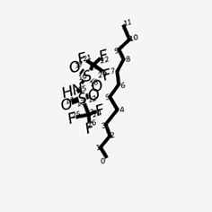 CCCCCCCCCCCC.O=S(=O)(NS(=O)(=O)C(F)(F)F)C(F)(F)F